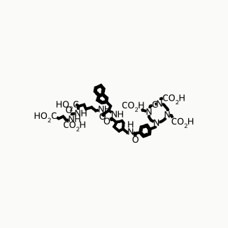 O=C(O)CCC(NC(=O)NC(CCCCNC(=O)C(Cc1ccc2ccccc2c1)NC(=O)C1CCC(CNC(=O)c2ccc(CN3CCN(CC(=O)O)CCN(CC(=O)O)CCN(CC(=O)O)CC3)cc2)CC1)C(=O)O)C(=O)O